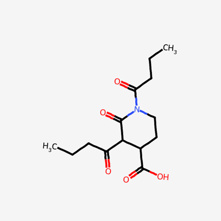 CCCC(=O)C1C(=O)N(C(=O)CCC)CCC1C(=O)O